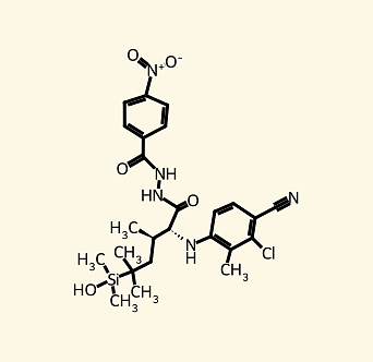 Cc1c(N[C@@H](C(=O)NNC(=O)c2ccc([N+](=O)[O-])cc2)[C@H](C)CC(C)(C)[Si](C)(C)O)ccc(C#N)c1Cl